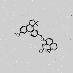 COc1ccc(F)c(-c2ccc(COc3ccc4c(c3F)[C@@]3(CCC4)C[C@@H]3C=O)cc2[C@@H]2CCCC2(C)C)c1